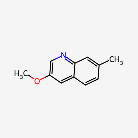 COc1cnc2cc(C)ccc2c1